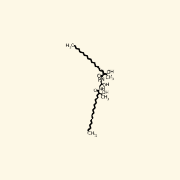 CCCCCCCCCCCCCCCCC(C(=O)NCC(O)CNC(=O)C(CCCCCCCCCCCCCCCC)C(C)O)C(C)O